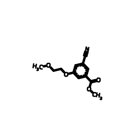 COCCOc1cc(C#N)cc(C(=O)OC)c1